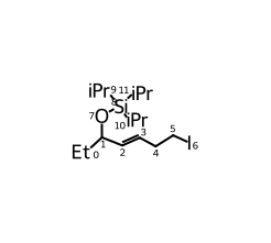 CCC(C=CCCI)O[Si](C(C)C)(C(C)C)C(C)C